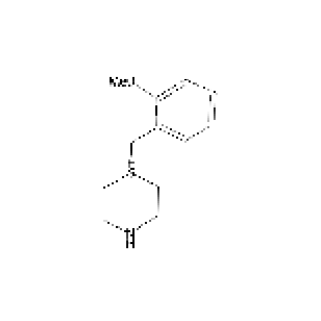 COc1c[c]ccc1C[SH]1CCNCC1